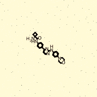 NC1(C(=O)Nc2ccc(-c3ccnc(Nc4ccc(N5CCOCC5)cc4)n3)cc2)CCC1